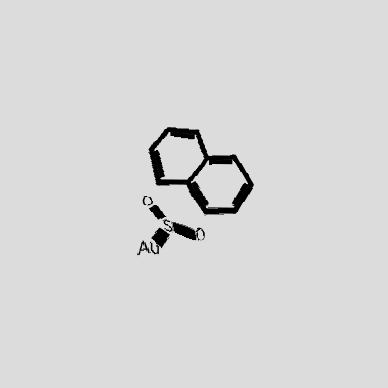 O=[S](=O)=[Au].c1ccc2ccccc2c1